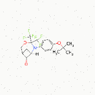 CC(C)(C)Oc1ccc(N2[C@@H]3CC(COC2(C(F)(F)F)C(F)(F)F)C3=O)cc1